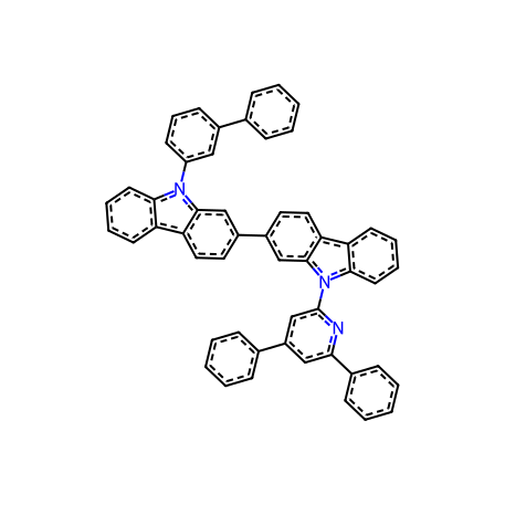 c1ccc(-c2cccc(-n3c4ccccc4c4ccc(-c5ccc6c7ccccc7n(-c7cc(-c8ccccc8)cc(-c8ccccc8)n7)c6c5)cc43)c2)cc1